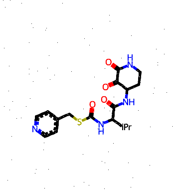 CC(C)C(NC(=O)SCc1ccncc1)C(=O)NC1CCNC(=O)C1=O